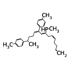 C=CCC/C=C\C/C(=C/C(=C\CCC(C)c1ccc(C)cc1)c1ccc(C)cc1)PC